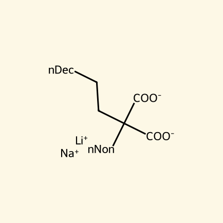 CCCCCCCCCCCCC(CCCCCCCCC)(C(=O)[O-])C(=O)[O-].[Li+].[Na+]